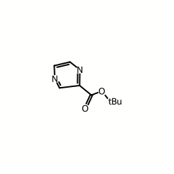 CC(C)(C)OC(=O)c1cnccn1